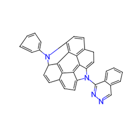 C1=CC2c3c4c(ccc5c4c4c(n(-c6nncc7ccccc67)c6ccc1c3c46)=CC5)N2c1ccccc1